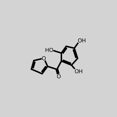 O=C(c1ccco1)c1c(O)cc(O)cc1O